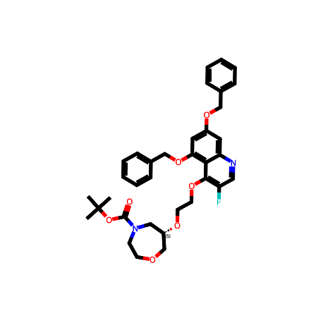 CC(C)(C)OC(=O)N1CCOC[C@@H](OCCOc2c(F)cnc3cc(OCc4ccccc4)cc(OCc4ccccc4)c23)C1